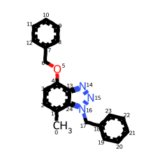 Cc1ccc(OCc2ccccc2)c2nnn(Cc3ccccc3)c12